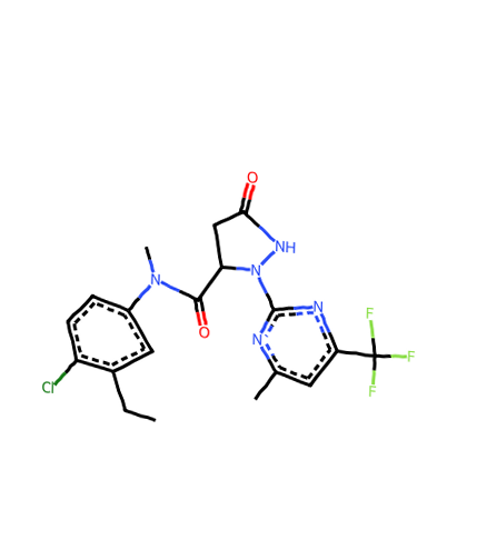 CCc1cc(N(C)C(=O)C2CC(=O)NN2c2nc(C)cc(C(F)(F)F)n2)ccc1Cl